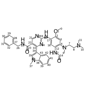 COc1cc(N(C)CCN(C)C)c(NC=O)cc1Nc1ncc(C(=O)NCc2ccccc2)c(-c2cn(C)c3ccccc23)n1